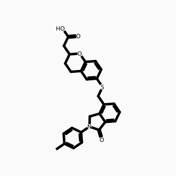 Cc1ccc(N2Cc3c(CSc4ccc5c(c4)CCC(CC(=O)O)O5)cccc3C2=O)cc1